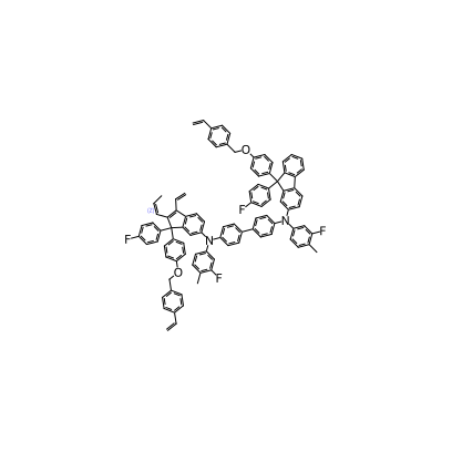 C=CC1=C(/C=C\C)C(c2ccc(F)cc2)(c2ccc(OCc3ccc(C=C)cc3)cc2)c2cc(N(c3ccc(-c4ccc(N(c5ccc(C)c(F)c5)c5ccc6c(c5)C(c5ccc(F)cc5)(c5ccc(OCc7ccc(C=C)cc7)cc5)c5ccccc5-6)cc4)cc3)c3ccc(C)c(F)c3)ccc21